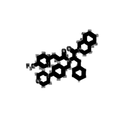 O=C(C(Cc1ccccc1)N(Cc1ccc(N2CCOCC2)cc1)C(=O)C=Cc1ccc(C(F)(F)F)cn1)N1CCc2ccccc2C1